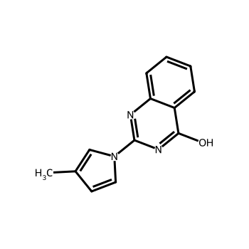 Cc1ccn(-c2nc(O)c3ccccc3n2)c1